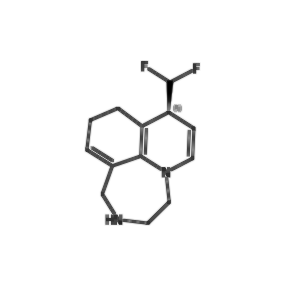 FC(F)[C@H]1C=CN2CCNCC3=CCCC1=C32